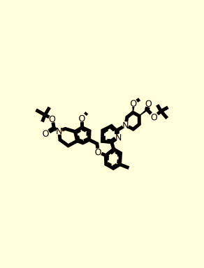 COc1cc(COc2ccc(C)cc2-c2cccc(N3CC[C@H](C(=O)OC(C)(C)C)[C@H](OC)C3)n2)cc2c1CN(C(=O)OC(C)(C)C)CC2